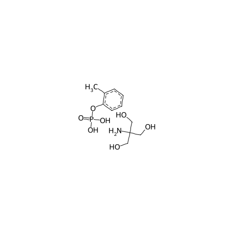 Cc1ccccc1OP(=O)(O)O.NC(CO)(CO)CO